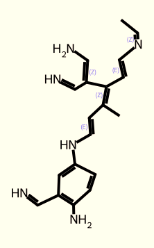 C\C=N/C=C/C(C(/C=N)=C/N)=C(C)/C=C/Nc1ccc(N)c(C=N)c1